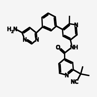 Cc1ncc(NC(=O)c2ccnc(C(C)(C)C#N)c2)cc1-c1cccc(-c2cc(N)ncn2)c1